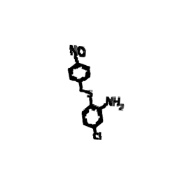 Nc1cc(Cl)ccc1SCc1ccc(N=O)cc1